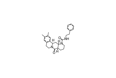 Cc1cc2c(cc1C)[C@H]1C[C@H]3[C@H](CCCN3C(=O)NCCc3ccccc3)C(=O)N1CC2